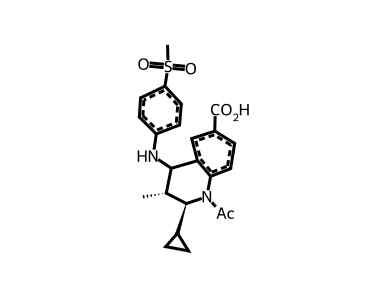 CC(=O)N1c2ccc(C(=O)O)cc2C(Nc2ccc(S(C)(=O)=O)cc2)[C@@H](C)[C@@H]1C1CC1